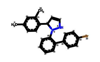 Cc1ccc(C2C=CNN2c2ccccc2-c2ccc(Br)cc2)c(C)c1